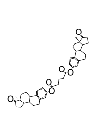 C[C@]12CCC3c4ccc(OC(=O)CCCC(=O)Oc5ccc6c(c5)CCC5C6CC[C@]6(C)C(=O)CCC56)cc4CCC3C1CCC2=O